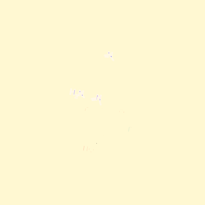 Cc1cncc(-c2ccc3c(c2)[C@@]2(COC(N)=N2)c2cc(C(C)(C)O)cc(F)c2O3)c1